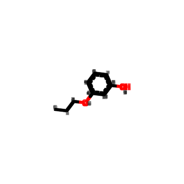 CCCOc1cccc(O)c1